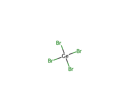 [Br][Ge]([Br])([Br])[Br]